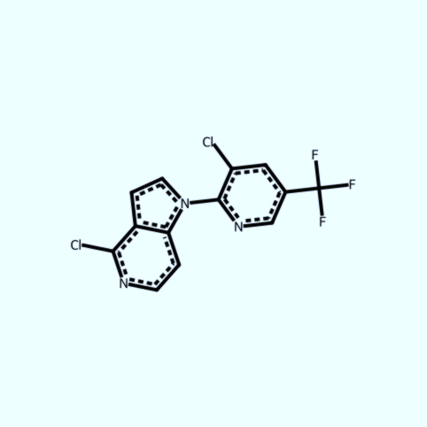 FC(F)(F)c1cnc(-n2ccc3c(Cl)nccc32)c(Cl)c1